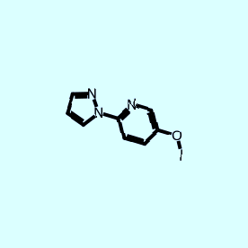 IOc1ccc(-n2cccn2)nc1